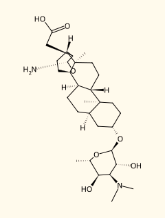 C[C@@H]1O[C@@H](O[C@H]2CC[C@@]3(C)[C@H](CC[C@@H]4[C@@H]3CC[C@]3(C)[C@@H]5CC[C@]43O[C@H](N)[C@@H]5CC(=O)O)C2)[C@H](O)[C@@H](N(C)C)[C@H]1O